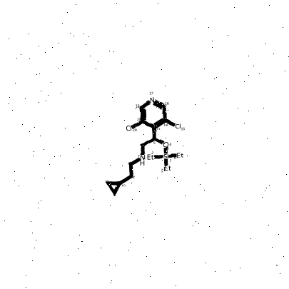 CC[Si](CC)(CC)OC(CNCCC1CC1)c1c(Cl)cncc1Cl